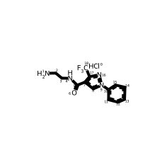 Cl.NCCNC(=O)c1cn(-c2ccccc2)nc1C(F)(F)F